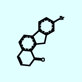 O=C1CC=Cc2ccc3c(c21)Cc1cc(Br)ccc1-3